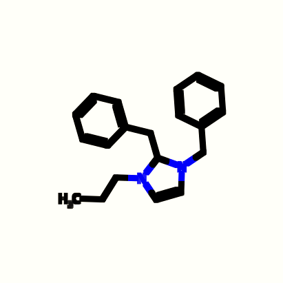 CCCN1C=CN(Cc2ccccc2)C1Cc1ccccc1